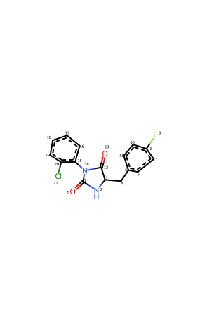 O=C1NC(Cc2ccc(F)cc2)C(=O)N1c1ccccc1Cl